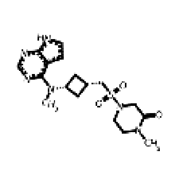 CN1CCN(S(=O)(=O)C[C@H]2C[C@@H](N(C)c3ncnc4[nH]ccc34)C2)CC1=O